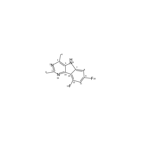 Cc1nc(C)c2[nH]c3cc(F)cc(F)c3c2n1